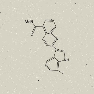 CNC(=O)c1cccc2nc(-c3c[nH]c4c(C)cccc34)ccc12